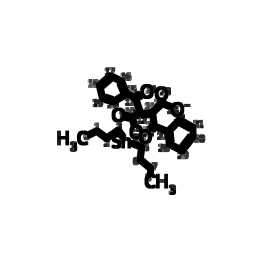 CCC[CH2][Sn+2][CH2]CCC.O=C([O-])C(C(=O)c1ccccc1)=C(C(=O)[O-])C(=O)c1ccccc1